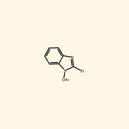 CCc1nc2ccccc2n1OC(C)=O